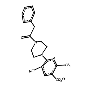 CCOC(=O)c1cc(C#N)c(N2CCN(C(=O)Cc3ccccc3)CC2)nc1C(F)(F)F